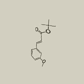 COc1cccc(C=CC(=O)OC(C)(C)C)c1